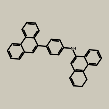 C1=Cc2cc(Nc3ccc(-c4cc5ccccc5c5ccccc45)cc3)c3ccccc3c2CC1